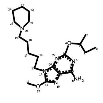 CCC(C)Oc1nc(N)c2nc(OC)n(CCCCCN3CCCCC3)c2n1